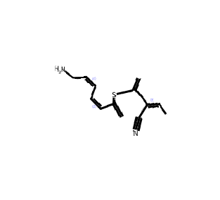 C=C(/C=C\C=C/CN)SC(=C)/C(C#N)=C/C